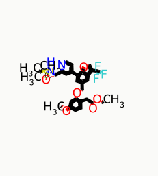 CCOC(=O)Cc1ccc(OC)cc1OCc1cc(-c2ccnc(CN[S@+]([O-])C(C)(C)C)c2)c2occ(C(F)(F)F)c2c1